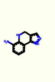 Nc1cccc2c1NCc1cn[nH]c1-2